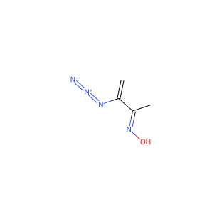 C=C(N=[N+]=[N-])/C(C)=N/O